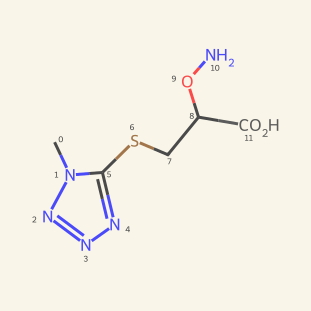 Cn1nnnc1SCC(ON)C(=O)O